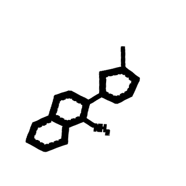 Cc1cccc(-c2ccc3ccccc3c2N)c1